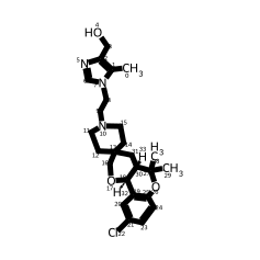 Cc1c(CO)ncn1CCN1CCC2(CC1)CO[C@@H]1c3cc(Cl)ccc3OC(C)(C)[C@H]1C2